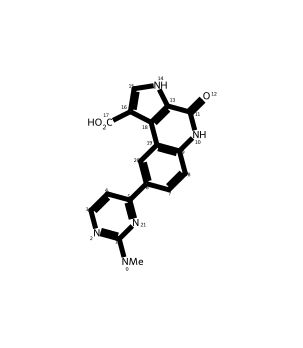 CNc1nccc(-c2ccc3[nH]c(=O)c4[nH]cc(C(=O)O)c4c3c2)n1